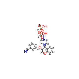 CS(=O)(=O)O.CS(=O)(=O)O.N#Cc1cccc(CO[C@H]2COc3ccccc3[C@@H]2N2CCNCC2)c1